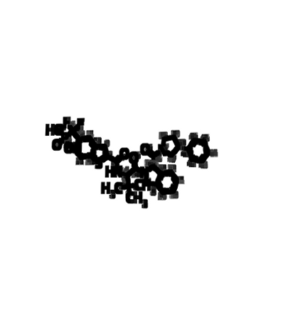 CC(C)(C)[C@H](NC(=O)c1cc2cc(C(F)(F)P(=O)(O)O)ccc2s1)C(=O)N1Cc2ccccc2[C@H]1C(=O)N1CC[C@H](c2ccccc2)C1